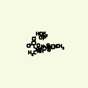 Cc1[nH]n(-c2ccc(S(=O)(=O)N3CCN(C)CC3)cn2)c(=O)c1Cc1ccc(Cl)cc1Cl.O=C(O)C(F)(F)F